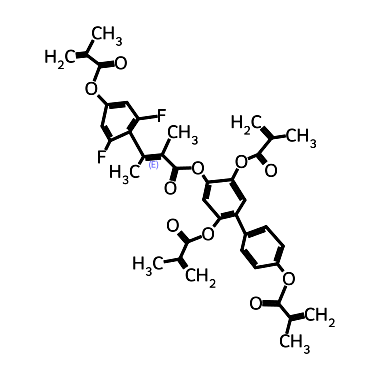 C=C(C)C(=O)Oc1ccc(-c2cc(OC(=O)C(=C)C)c(OC(=O)/C(C)=C(\C)c3c(F)cc(OC(=O)C(=C)C)cc3F)cc2OC(=O)C(=C)C)cc1